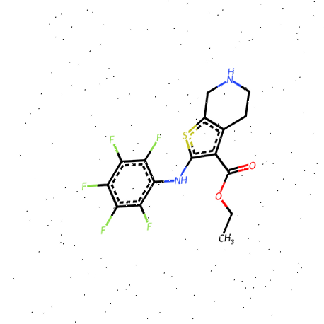 CCOC(=O)c1c(Nc2c(F)c(F)c(F)c(F)c2F)sc2c1CCNC2